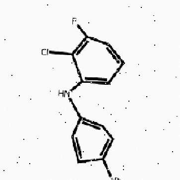 CC(C)(C)c1ccc(Nc2cccc(F)c2Cl)cc1